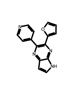 c1coc(-c2nc3[nH]ccc3nc2-c2ccncc2)c1